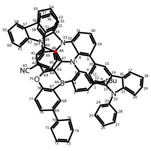 CC(C)(C)c1ccc2c(c1)N(c1c(-c3ccc4c(c3)c3ccccc3n4-c3ccccc3)cccc1-n1c3ccccc3c3cc(C#N)ccc31)c1cc(-n3c4ccccc4c4ccccc43)cc3c1B2c1cc(-c2ccccc2)ccc1O3